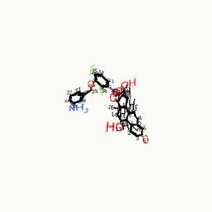 C[C@]12C=CC(=O)C=C1CC[C@@H]1[C@@H]2[C@@H](O)C[C@@]2(C)[C@H]1C[C@H]1O[C@@H](c3ccc(F)c(OCc4cccc(N)c4)c3F)O[C@]12C(=O)CO